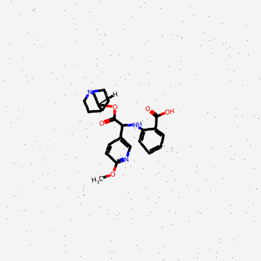 COc1ccc(C(Nc2ccccc2C(=O)O)C(=O)O[C@H]2CN3CCC2CC3)cn1